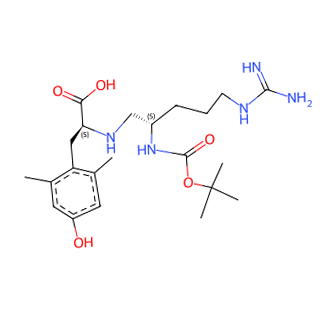 Cc1cc(O)cc(C)c1C[C@H](NC[C@H](CCCNC(=N)N)NC(=O)OC(C)(C)C)C(=O)O